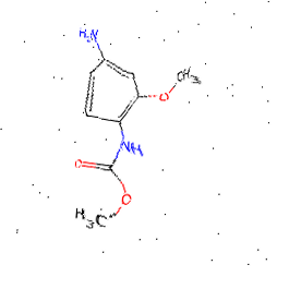 COC(=O)Nc1ccc(N)cc1OC